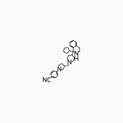 N#Cc1ccc(N2CCC(CN3CCC(C4(C5CCCC5)NCCc5ccccc54)CC3)C2)cc1